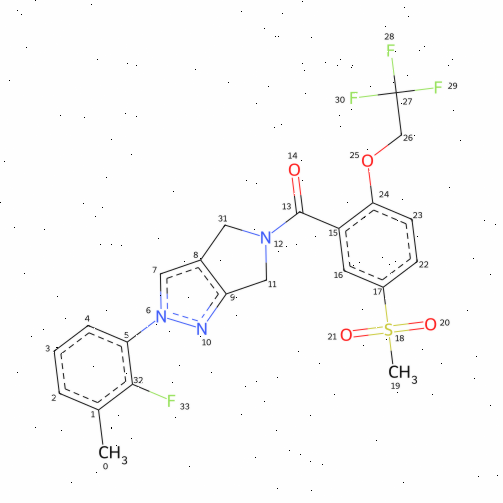 Cc1cccc(-n2cc3c(n2)CN(C(=O)c2cc(S(C)(=O)=O)ccc2OCC(F)(F)F)C3)c1F